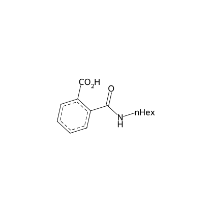 CCCCCCNC(=O)c1ccccc1C(=O)O